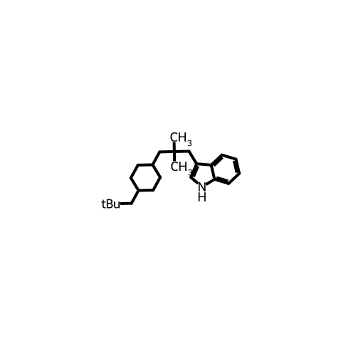 CC(C)(C)CC1CCC(CC(C)(C)Cc2c[nH]c3ccccc23)CC1